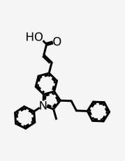 Cc1c(CCc2ccccc2)c2cc(/C=C/C(=O)O)ccc2n1-c1ccccc1